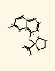 CC(=O)C1(Sc2ccnc3ccc(C)cc23)CCCC1